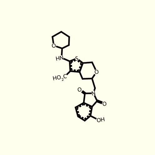 O=C(O)c1c(NC2CCCCO2)sc2c1CC(CN1C(=O)c3cccc(O)c3C1=O)OC2